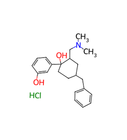 CN(C)CC1CC(Cc2ccccc2)CCC1(O)c1cccc(O)c1.Cl